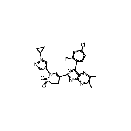 Cc1nc2nc(C3=CN(c4cnn(C5CC5)c4)S(=O)(=O)CC3)nc(-c3ccc(Cl)cc3F)c2nc1C